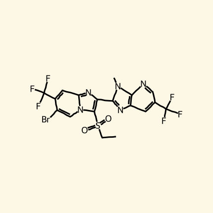 CCS(=O)(=O)c1c(-c2nc3cc(C(F)(F)F)cnc3n2C)nc2cc(C(F)(F)F)c(Br)cn12